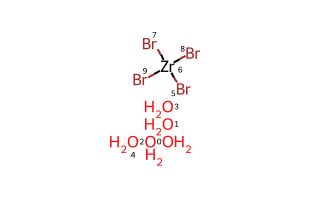 O.O.O.O.O.[Br][Zr]([Br])([Br])[Br]